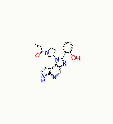 C=CC(=O)N1CCC(n2c(-c3ccccc3O)nc3cnc4[nH]ccc4c32)C1